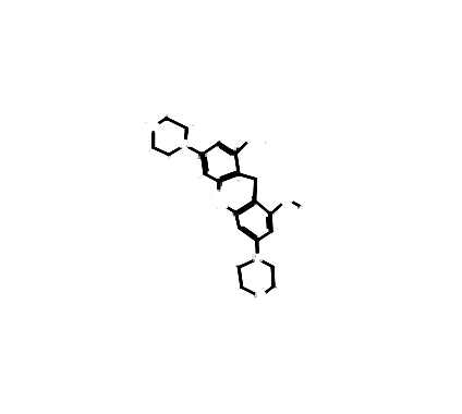 COc1cc(N2CCOCC2)cc(C)c1Cc1c(C)cc(N2CCOCC2)cc1C